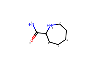 [NH]C(=O)C1CCCCCN1